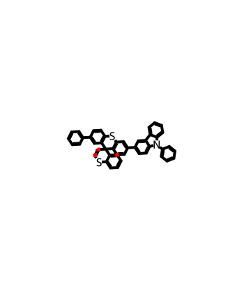 c1ccc(-c2ccc3c(c2)C2(c4ccccc4Sc4ccccc42)c2ccc(-c4ccc5c(c4)c4ccccc4n5-c4ccccc4)cc2S3)cc1